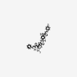 CCN1C(=O)[C@@H](CNc2ccc(NC(=O)CCN3CCN(C)CC3)cc2)SC1[C@H](N)C(=O)NCCc1ccccn1